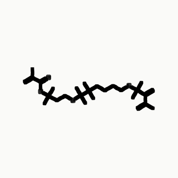 C=C(C)C(=C)C(C)(C)OCCCCC(C)(C)C(C)(C)OCCC(C)(C)OC(=O)C(=C)C